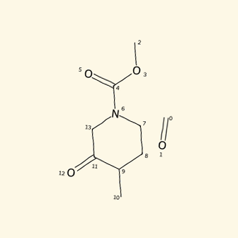 C=O.COC(=O)N1CCC(C)C(=O)C1